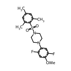 COc1cc(F)c(N2CCN(S(=O)(=O)c3c(C)cc(C)cc3C)CC2)cc1F